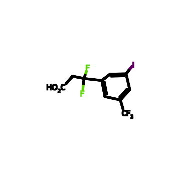 O=C(O)CC(F)(F)c1cc(I)cc(C(F)(F)F)c1